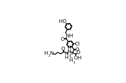 C[C@](NNC(=O)CCCN)(C(=O)O)C(=O)c1ccc(C(=O)NCc2cccc(O)c2)cc1Cl